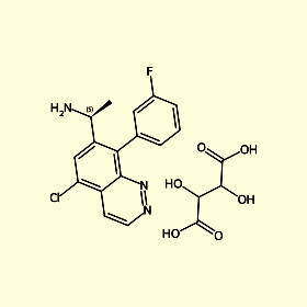 C[C@H](N)c1cc(Cl)c2ccnnc2c1-c1cccc(F)c1.O=C(O)C(O)C(O)C(=O)O